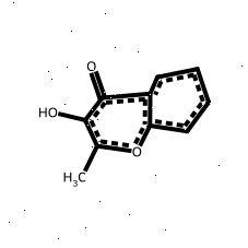 Cc1oc2ccccc2c(=O)c1O